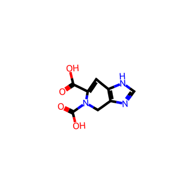 O=C(O)C1=Cc2[nH]cnc2CN1C(=O)O